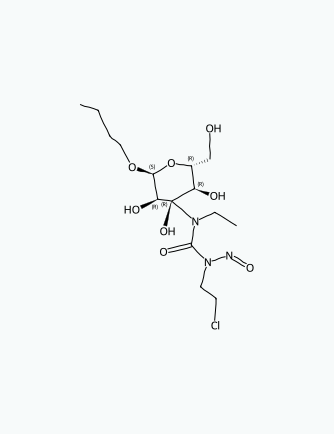 CCCCO[C@H]1O[C@H](CO)[C@@H](O)[C@](O)(N(CC)C(=O)N(CCCl)N=O)[C@H]1O